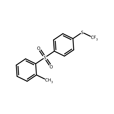 Cc1ccccc1S(=O)(=O)c1ccc(SC(F)(F)F)cc1